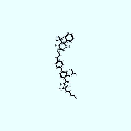 CCCCCS(=O)(=O)NC(=O)c1ccc(-c2ccc(CCOC(=O)NC([C@H](O)c3ccccc3)C(C)(C)C)cc2)cc1OC(C)C